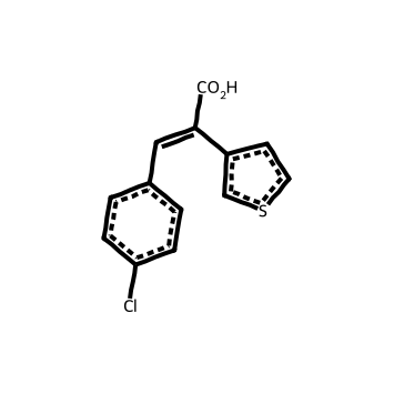 O=C(O)C(=Cc1ccc(Cl)cc1)c1ccsc1